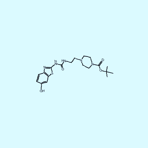 CC(C)(C)OC(=O)N1CCN(CCNC(=O)Nc2nc3ccc(O)cc3s2)CC1